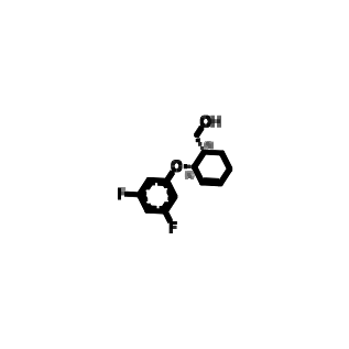 OC[C@@H]1CCC=C[C@@H]1Oc1cc(F)cc(F)c1